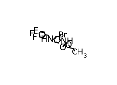 CCCOC(=O)Nc1ccc(NCc2ccc(C(F)(F)F)cc2)cc1Br